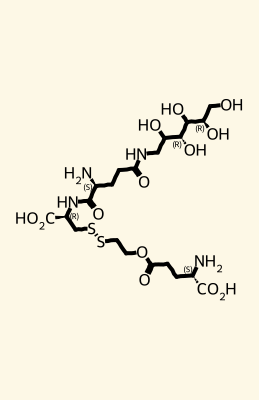 N[C@@H](CCC(=O)OCCSSC[C@H](NC(=O)[C@@H](N)CCC(=O)NCC(O)[C@@H](O)C(O)[C@H](O)CO)C(=O)O)C(=O)O